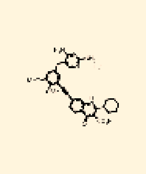 COc1cc(Cc2cnc(N)nc2N)cc(C#Cc2ccc3c(=O)c(C(=O)O)c(C4CCCCC4)[nH]c3c2)c1OC.Cl